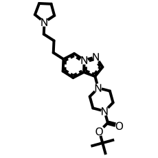 CC(C)(C)OC(=O)N1CCN(c2cnn3cc(CCCN4CCCC4)ccc23)CC1